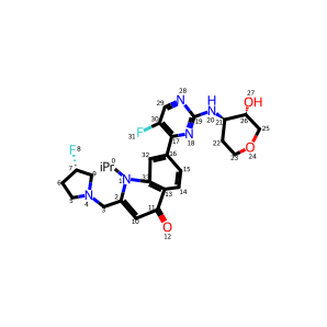 CC(C)n1c(CN2CC[C@H](F)C2)cc(=O)c2ccc(-c3nc(N[C@@H]4CCOC[C@H]4O)ncc3F)cc21